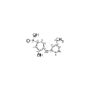 Cc1cccc(Oc2ccc(C(=O)O)cc2O)c1